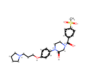 CS(=O)(=O)c1ccc(C(=O)N2CCN(c3ccc(OCCCN4CCCC4)cc3)C(=O)C2)cc1